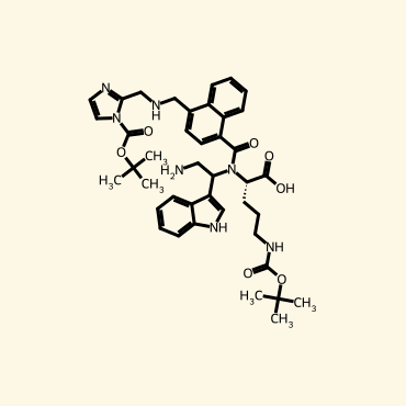 CC(C)(C)OC(=O)NCCC[C@@H](C(=O)O)N(C(=O)c1ccc(CNCc2nccn2C(=O)OC(C)(C)C)c2ccccc12)C(CN)c1c[nH]c2ccccc12